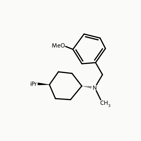 COc1cccc(CN(C)[C@H]2CC[C@H](C(C)C)CC2)c1